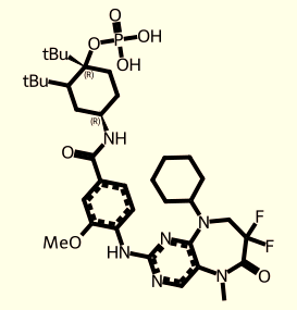 COc1cc(C(=O)N[C@@H]2CC[C@](OP(=O)(O)O)(C(C)(C)C)C(C(C)(C)C)C2)ccc1Nc1ncc2c(n1)N(C1CCCCC1)CC(F)(F)C(=O)N2C